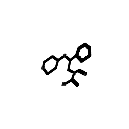 C=C(S)N(C=O)CC(OC1CCOCC1)c1ccccc1